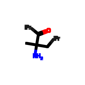 CC(C)CC(C)(N)C(=O)C(C)C